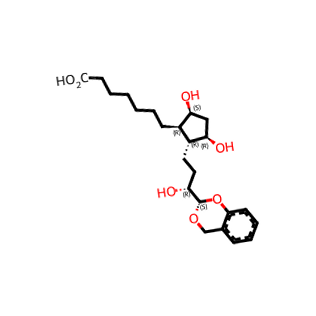 O=C(O)CCCCCC[C@@H]1[C@@H](CC[C@@H](O)[C@H]2OCc3ccccc3O2)[C@H](O)C[C@@H]1O